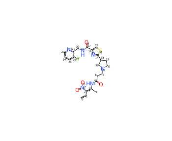 C=C/C(=C(\C)NC(=O)CCN1CCC(c2nc(C(=O)NCc3ncccc3F)cs2)C1)[N+](=O)[O-]